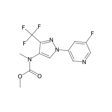 COC(=O)N(C)c1cn(-c2cncc(F)c2)nc1C(F)(F)F